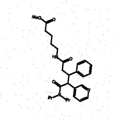 COC(=O)CCCCNC(=O)CC(c1ccccc1)C(C(=O)N(C(C)C)C(C)C)c1cccnc1